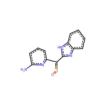 Nc1cccc(C(=S=O)c2nc3ccccc3[nH]2)n1